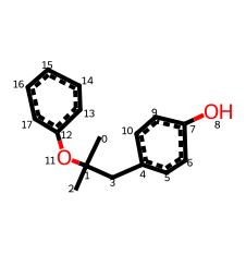 CC(C)(Cc1ccc(O)cc1)Oc1ccccc1